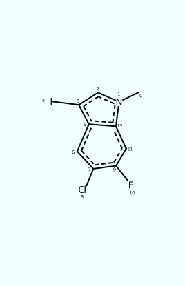 Cn1cc(I)c2cc(Cl)c(F)cc21